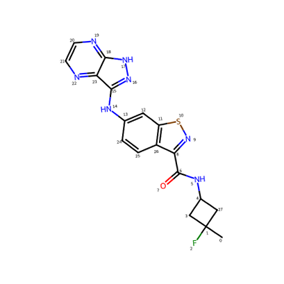 CC1(F)CC(NC(=O)c2nsc3cc(Nc4n[nH]c5nccnc45)ccc23)C1